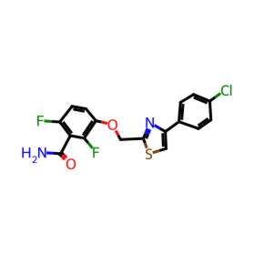 NC(=O)c1c(F)ccc(OCc2nc(-c3ccc(Cl)cc3)cs2)c1F